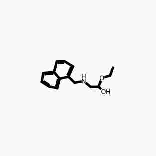 CCOC(O)CNCc1cccc2ccccc12